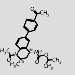 CC(=O)c1ccc(-c2ccc3c(c2)[C@H](NC(=O)OC(C)C)C[C@H](C)N3C(C)=O)cc1